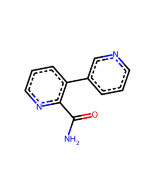 NC(=O)c1ncccc1-c1cccnc1